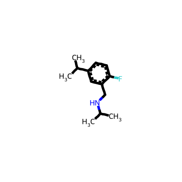 CC(C)NCc1cc(C(C)C)ccc1F